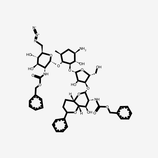 C[C@H]1C[C@@H](N)[C@H](O)[C@@H](O[C@@H]2O[C@H](CO)[C@@H](O[C@H]3O[C@H]4CCC(c5ccccc5)O[C@H]4[C@H](O)[C@H]3NC(=O)OCc3ccccc3)[C@H]2O)[C@@H]1O[C@H]1O[C@H](CN=[N+]=[N-])[C@@H](O)[C@H](O)[C@H]1NC(=O)OCc1ccccc1